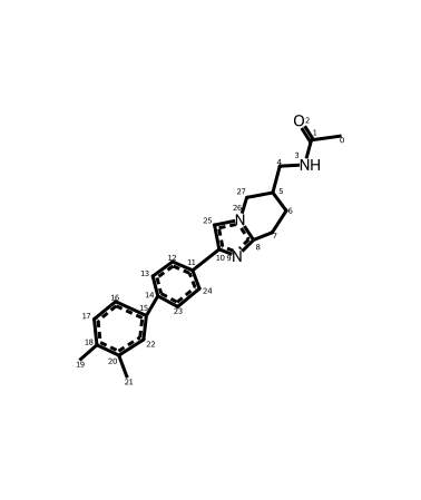 CC(=O)NCC1CCc2nc(-c3ccc(-c4ccc(C)c(C)c4)cc3)cn2C1